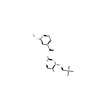 COc1cccc(C(=O)Oc2ncc(F)c(/N=C/C(C)(C)C)n2)c1